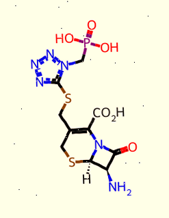 N[C@@H]1C(=O)N2C(C(=O)O)=C(CSc3nnnn3CP(=O)(O)O)CS[C@H]12